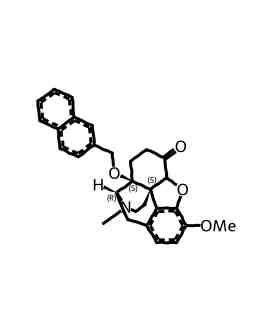 COc1ccc2c3c1OC1C(=O)CC[C@@]4(OCc5ccc6ccccc6c5)[C@@H](C2)N(C)CC[C@]314